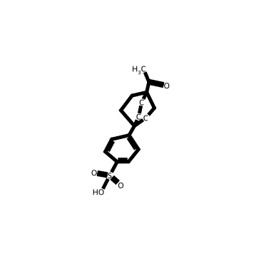 CC(=O)C12CCC(c3ccc(S(=O)(=O)O)cc3)(CC1)CC2